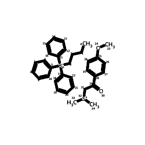 CCCC[B-](c1ccccc1)(c1ccccc1)c1ccccc1.COc1ccc(C(=O)C[S+](C)C)cc1